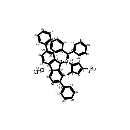 CC(C)C1C=C(C(C)(C)C)C=[C]1[Zr+2](=[C](c1ccccc1)c1ccccc1)[CH]1c2cc(-c3ccccc3)ccc2-c2ccc(-c3ccccc3)cc21.[Cl-].[Cl-]